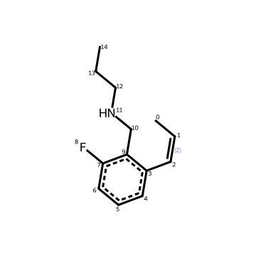 C/C=C\c1cccc(F)c1CNCCC